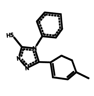 CC1=CC=C(c2nnc(S)n2-c2ccccc2)CC1